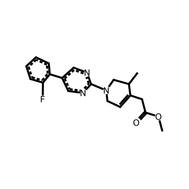 COC(=O)CC1=CCN(c2ncc(-c3ccccc3F)cn2)CC1C